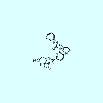 CC(F)(F)[C@H](CO)NC(=O)c1ccc2c(n1)N(C(=O)Nc1cccnc1)[C@H]1CCN2C1